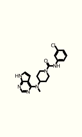 CN(c1ncnc2[nH]ccc12)C1CCN(C(=O)Nc2cccc(Cl)c2)CC1